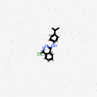 CC(C)c1ccc(Nc2nnc(Cl)c3ccccc23)cc1